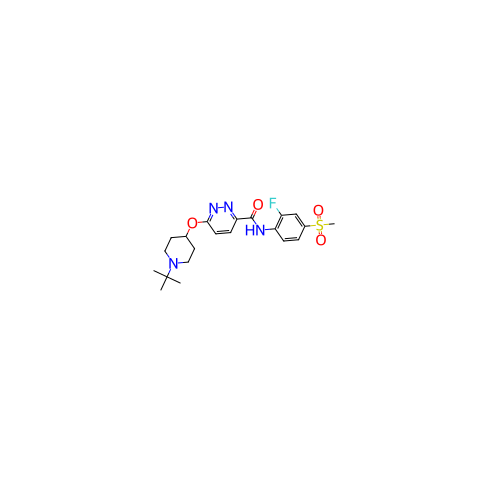 CC(C)(C)N1CCC(Oc2ccc(C(=O)Nc3ccc(S(C)(=O)=O)cc3F)nn2)CC1